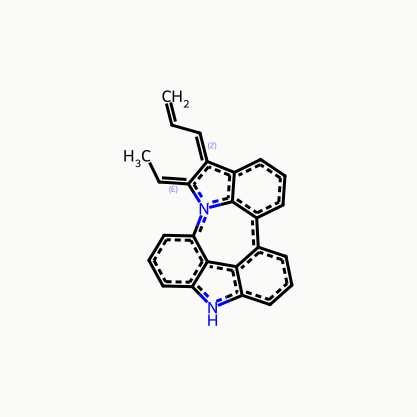 C=C/C=c1\c(=C/C)n2c3cccc4[nH]c5cccc(c6cccc1c62)c5c43